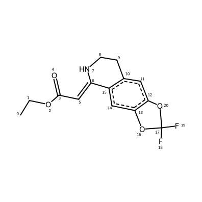 CCOC(=O)C=C1NCCc2cc3c(cc21)OC(F)(F)O3